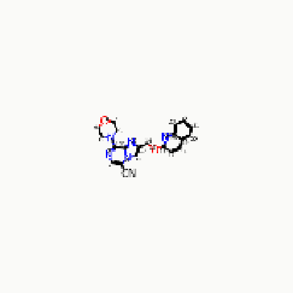 N#Cc1cnc(N2CCOCC2)c2nc(COc3ccc4ccccc4n3)cn12